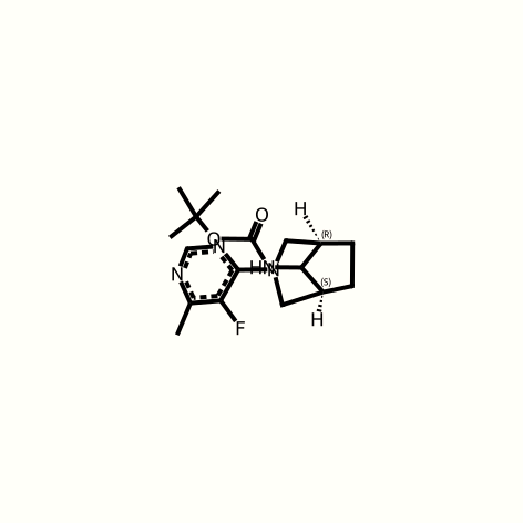 Cc1ncnc(N2C[C@H]3CC[C@@H](C2)C3NC(=O)OC(C)(C)C)c1F